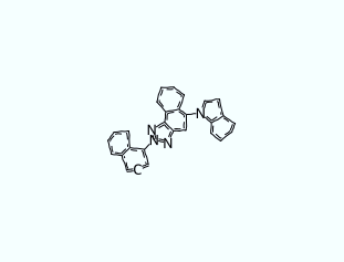 c1ccc2c(-n3nc4cc(-n5ccc6ccccc65)c5ccccc5c4n3)cccc2c1